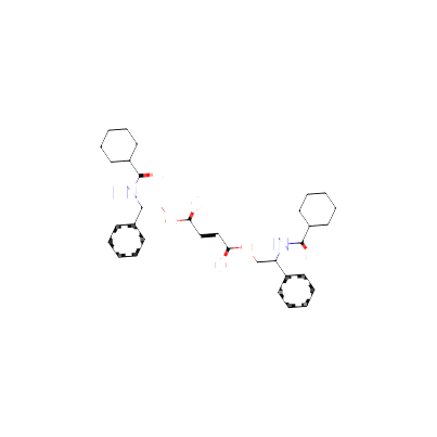 O=C(/C=C/C(=O)OC[C@@H](NC(=O)C1CCCCC1)c1ccccc1)OCC(NC(=O)C1CCCCC1)c1ccccc1